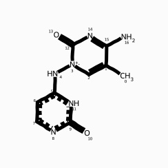 CC1=C[N+](Nc2ccnc(=O)[nH]2)C(=O)N=C1N